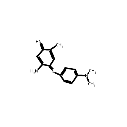 CC1=CC(=Nc2ccc(N(C)C)cc2)C(N)=CC1=N